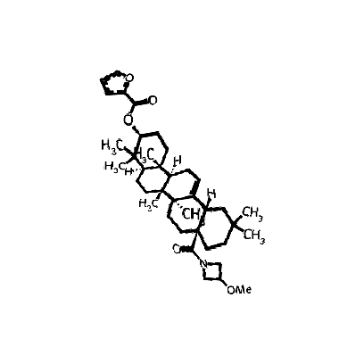 COC1CN(C(=O)[C@]23CCC(C)(C)C[C@H]2C2=CC[C@@H]4[C@@]5(C)CC[C@H](OC(=O)c6ccco6)C(C)(C)[C@@H]5CC[C@@]4(C)[C@]2(C)CC3)C1